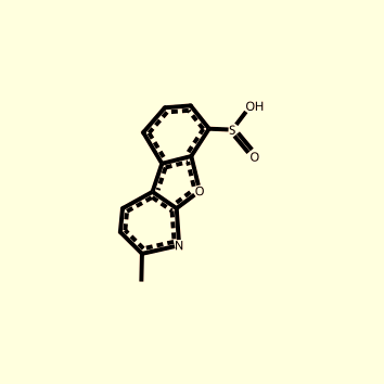 Cc1ccc2c(n1)oc1c(S(=O)O)cccc12